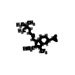 CCOC(=O)c1c(C(F)(F)F)c2cc(C3CC3)ccc2n1COCC[Si](C)(C)C